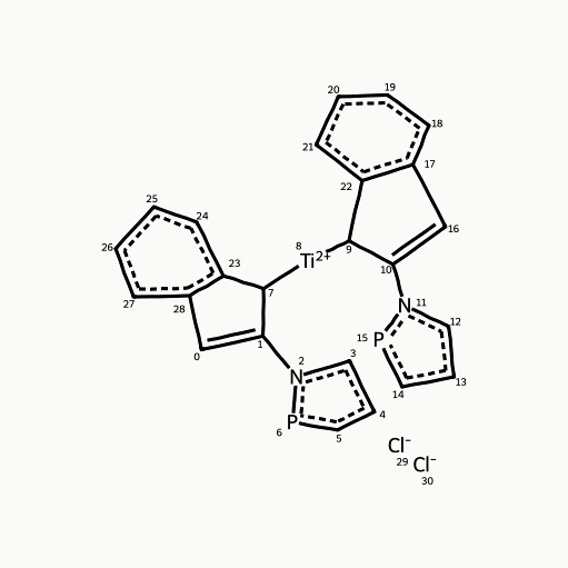 C1=C(n2cccp2)[CH]([Ti+2][CH]2C(n3cccp3)=Cc3ccccc32)c2ccccc21.[Cl-].[Cl-]